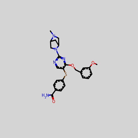 COc1cccc(COc2nc(N3CC4CC3CN4C)ncc2Sc2ccc(C(N)=O)cc2)c1